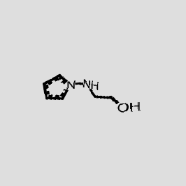 OCCNn1cccc1